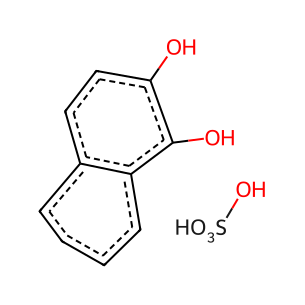 O=S(=O)(O)O.Oc1ccc2ccccc2c1O